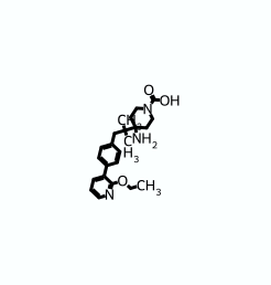 CCOc1ncccc1-c1ccc(CC(C)(C)C2(N)CCN(C(=O)O)CC2)cc1